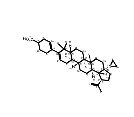 C=C(C)[C@@H]1CC[C@]2(N3CC3)CC[C@]3(C)[C@H](CC[C@@H]4[C@@]5(C)CC=C(C6=CCC(C(=O)O)CC6)C(C)(C)[C@@H]5CC[C@]43C)[C@@H]12